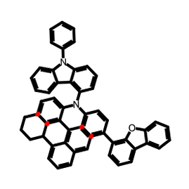 c1ccc(-n2c3ccccc3c3c(N(c4ccc(-c5cccc6c5oc5ccccc56)cc4)c4ccccc4-c4cccc5cccc(C6CCCCC6)c45)cccc32)cc1